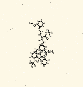 CCOc1ccccc1OCCN(C(=O)OC(C)(C)C)C(C)Cc1cc2c(c(C(N)=O)c1)N(C(=O)C(O[SiH2]C(C)(C)C)(c1ccccc1)c1ccccc1)CC2